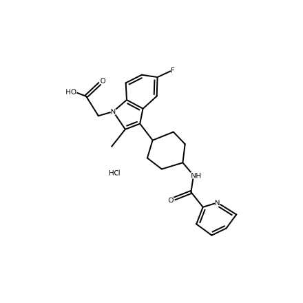 Cc1c(C2CCC(NC(=O)c3ccccn3)CC2)c2cc(F)ccc2n1CC(=O)O.Cl